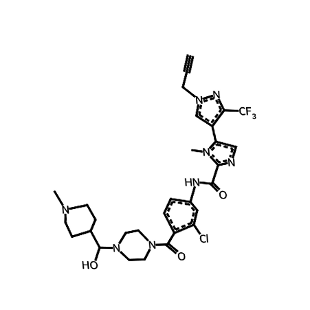 C#CCn1cc(-c2cnc(C(=O)Nc3ccc(C(=O)N4CCN(C(O)C5CCN(C)CC5)CC4)c(Cl)c3)n2C)c(C(F)(F)F)n1